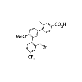 COc1ccc(-c2ccc(C(=O)O)cc2C)cc1-c1ccc(C(F)(F)F)cc1CBr